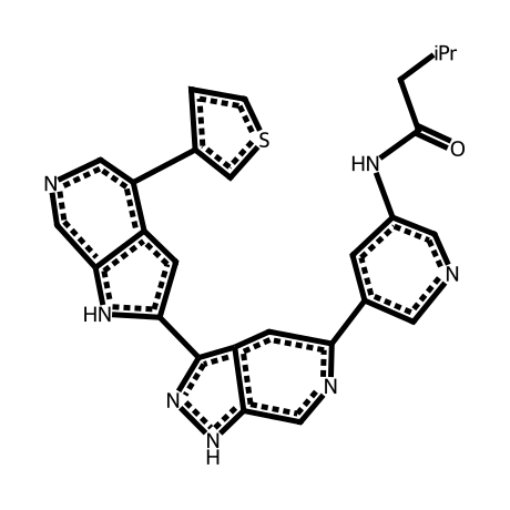 CC(C)CC(=O)Nc1cncc(-c2cc3c(-c4cc5c(-c6ccsc6)cncc5[nH]4)n[nH]c3cn2)c1